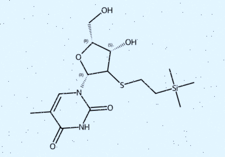 Cc1cn([C@@H]2O[C@H](CO)[C@H](O)C2SCC[Si](C)(C)C)c(=O)[nH]c1=O